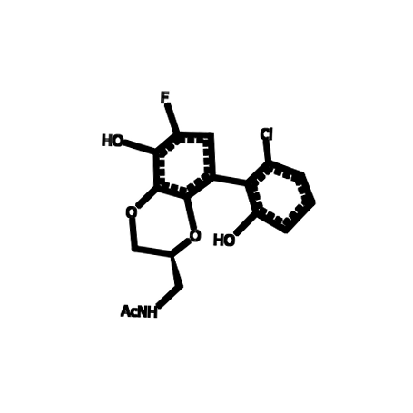 CC(=O)NC[C@H]1COc2c(O)c(F)cc(-c3c(O)cccc3Cl)c2O1